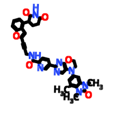 Cc1cc(N2CCOc3nc(-c4ccc(C(=O)NCC#Cc5cc6c(C7CCC(=O)NC7=O)cccc6o5)nc4)ncc32)cc2c1n(C)c(=O)n2C